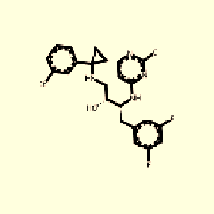 CCc1cccc(C2(NC[C@@H](O)[C@H](Cc3cc(F)cc(F)c3)Nc3ccnc(Cl)n3)CC2)c1